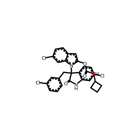 O=C(NC1CCC1)Oc1cc2ccc(Cl)cc2n1C1(Cc2cccc(Cl)c2)C(=O)Nc2cc(Cl)ccc21